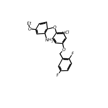 CCOc1ccc(Oc2ccc(OCc3cc(F)ccc3F)cc2)c(N)c1.Cl